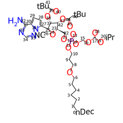 CCCCCCCCCCCCCCCCOCCCO[P@](=O)(OCOC(=O)OC(C)C)OC[C@H]1O[C@@](C#N)(c2ccc3c(N)ncnn23)[C@H](OC(=O)C(C)(C)C)[C@@H]1OC(=O)C(C)(C)C